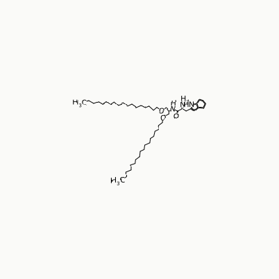 CCCCCCCCCCCCCCCCCCOCC(COCCCCCCCCCCCCCCCCCC)NC(=O)C(N)Cc1cc2ccccc2[nH]1